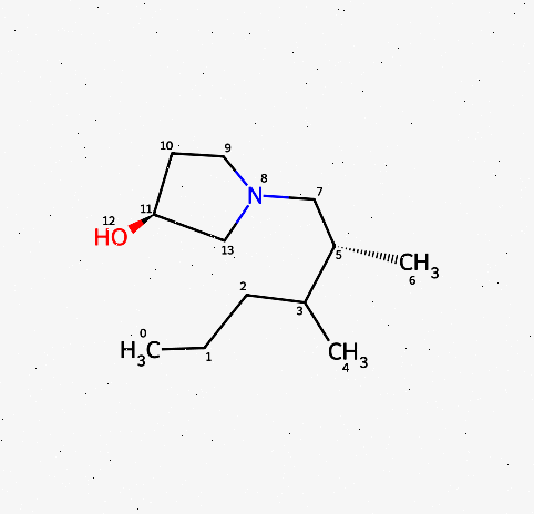 CCCC(C)[C@@H](C)CN1CC[C@H](O)C1